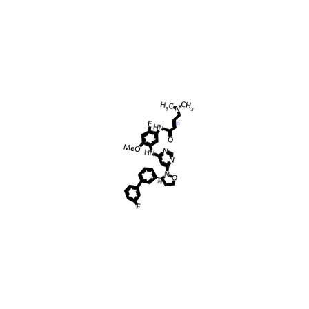 COc1cc(F)c(NC(=O)/C=C/CN(C)C)cc1Nc1cc(N2OCC[C@@H]2c2cccc(-c3cccc(F)c3)c2)ncn1